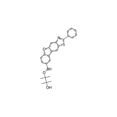 CC(C)(O)C(C)(C)OBc1ccc2oc3cc4nc(-c5ccccc5)sc4cc3c2c1